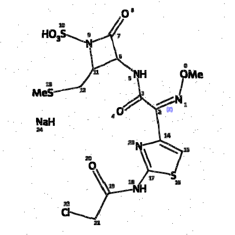 CO/N=C(\C(=O)NC1C(=O)N(S(=O)(=O)O)C1CSC)c1csc(NC(=O)CCl)n1.[NaH]